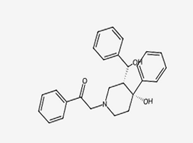 O=C(CN1CC[C@](O)(c2ccccc2)[C@@H](C(O)c2ccccc2)C1)c1ccccc1